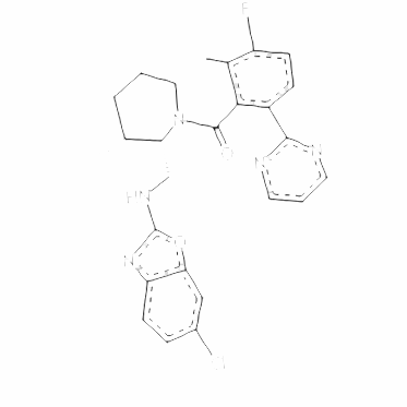 Cc1c(F)ccc(-c2ncccn2)c1C(=O)N1CCC[C@@H](C)[C@H]1CNc1nc2ccc(Cl)cc2o1